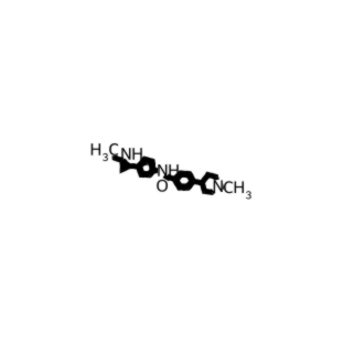 CCC1(N)CC1c1ccc(NC(=O)c2ccc(C3CCN(C)CC3)cc2)cc1